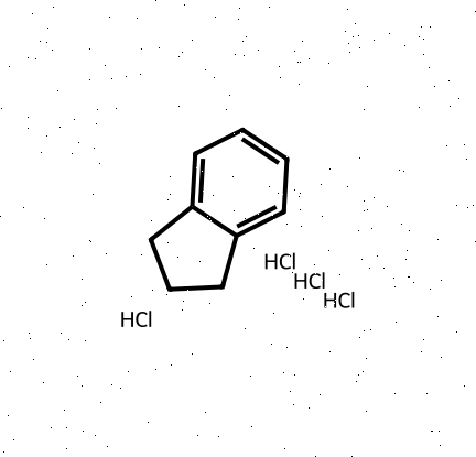 Cl.Cl.Cl.Cl.c1ccc2c(c1)CCC2